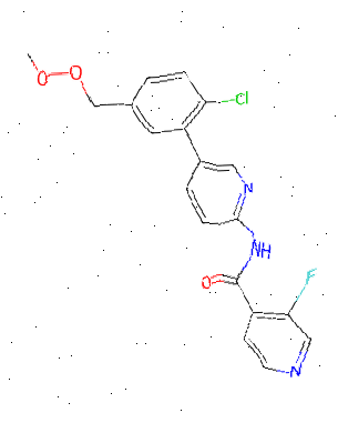 COOCc1ccc(Cl)c(-c2ccc(NC(=O)c3ccncc3F)nc2)c1